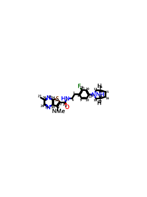 CNc1c(C(=O)NCCc2ccc(N3C[C@H]4CC[C@@H](C3)N4)cc2F)sc2nc(C)cnc12